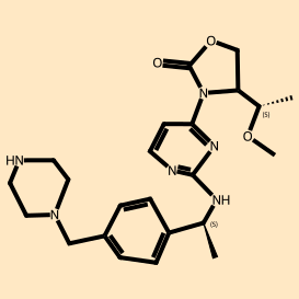 CO[C@@H](C)C1COC(=O)N1c1ccnc(N[C@@H](C)c2ccc(CN3CCNCC3)cc2)n1